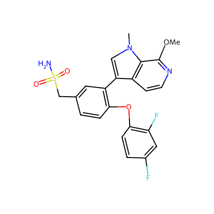 COc1nccc2c(-c3cc(CS(N)(=O)=O)ccc3Oc3ccc(F)cc3F)cn(C)c12